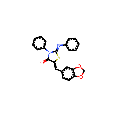 O=C1C(=Cc2ccc3c(c2)OCO3)SC(=Nc2ccccc2)N1c1ccccc1